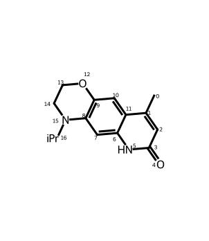 Cc1cc(=O)[nH]c2cc3c(cc12)OCCN3C(C)C